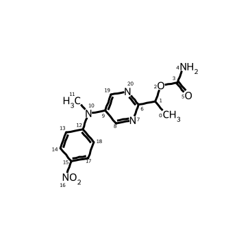 CC(OC(N)=O)c1ncc(N(C)c2ccc([N+](=O)[O-])cc2)cn1